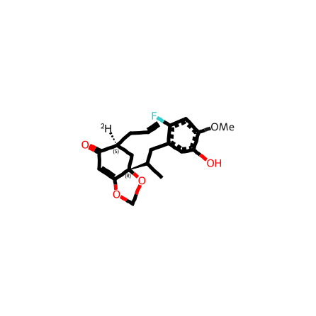 [2H][C@]1(CC=C)C[C@]2(C(C)Cc3cc(O)c(OC)cc3F)OCOC2=CC1=O